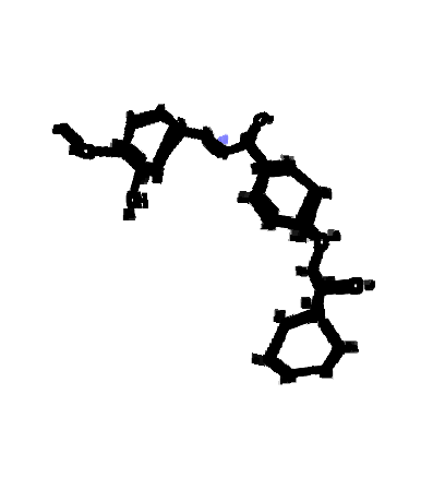 COc1ccc(/C=C/C(=O)c2ccc(OCC(=O)N3CCCCC3)cc2)cc1O